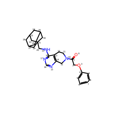 O=C(COc1ccccc1)N1CCc2c(ncnc2NCC23CC4CC(CC(C4)C2)C3)C1